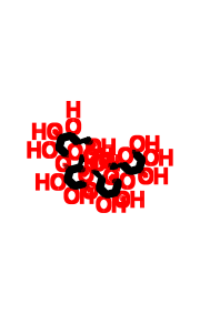 OC[C@H]1O[C@@H](O[C@H]2[C@H](O)[C@@H](O)[C@H](O[C@H]3[C@H](O)[C@@H](O)[C@H](O[C@H]4[C@H](O)[C@@H](O)C(O)O[C@@H]4CO)O[C@@H]3CO)O[C@@H]2CO)[C@H](O)[C@@H](O)[C@@H]1O